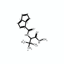 CNC(=O)C(NC(=O)C1=CC=C2C=CC=C21)C(C)(C)C